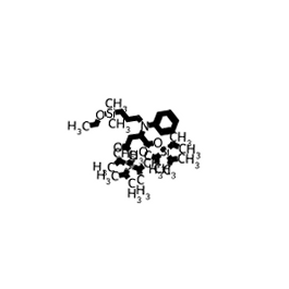 CCO[Si](C)(C)CCCN(c1ccccc1)C(CC(=O)O[Si](C(C)C)(C(C)C)C(C)C)C(=O)O[Si](C(C)C)(C(C)C)C(C)C